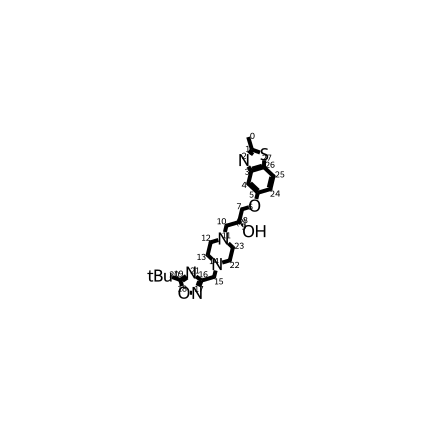 Cc1nc2cc(OC[C@H](O)CN3CCN(Cc4noc(C(C)(C)C)n4)CC3)ccc2s1